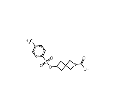 Cc1ccc(S(=O)(=O)OC2CC3(C2)CN(C(=O)O)C3)cc1